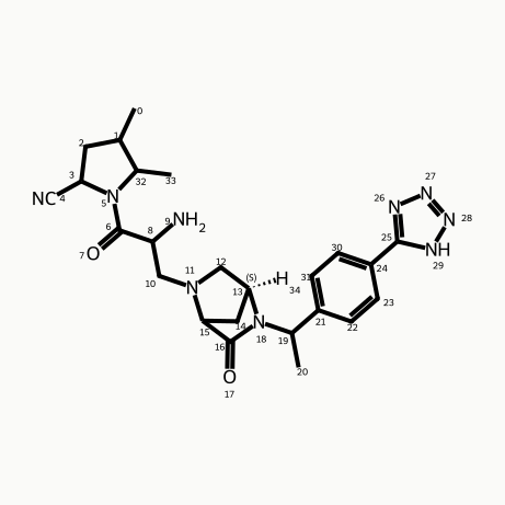 CC1CC(C#N)N(C(=O)C(N)CN2C[C@@H]3CC2C(=O)N3C(C)c2ccc(-c3nnn[nH]3)cc2)C1C